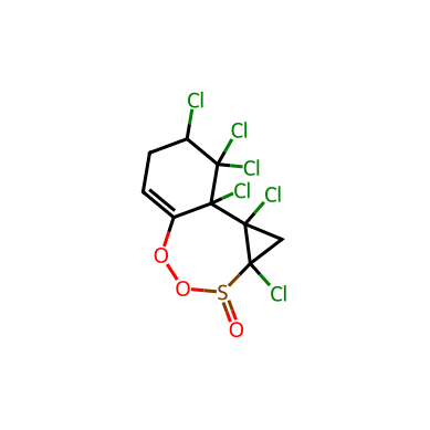 O=S1OOC2=CCC(Cl)C(Cl)(Cl)C2(Cl)C2(Cl)CC12Cl